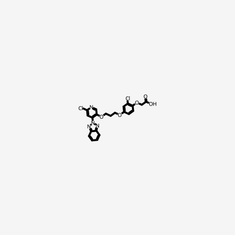 O=C(O)COc1ccc(OCCCOc2cnc(Cl)cc2-n2nc3ccccc3n2)cc1Cl